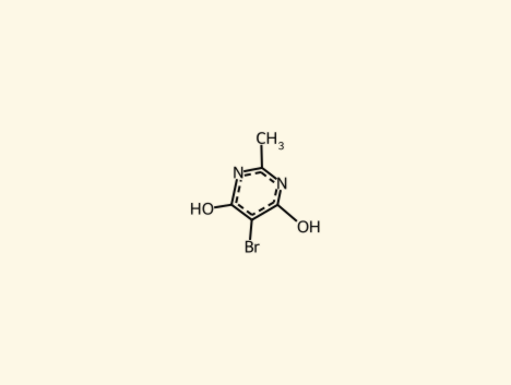 Cc1nc(O)c(Br)c(O)n1